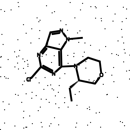 CC[C@H]1COCCN1c1nc(Cl)nc2cnn(C)c12